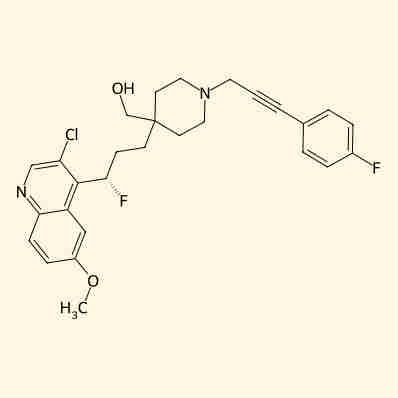 COc1ccc2ncc(Cl)c([C@@H](F)CCC3(CO)CCN(CC#Cc4ccc(F)cc4)CC3)c2c1